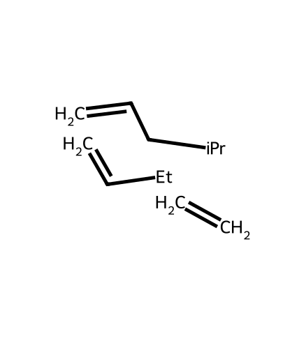 C=C.C=CCC.C=CCC(C)C